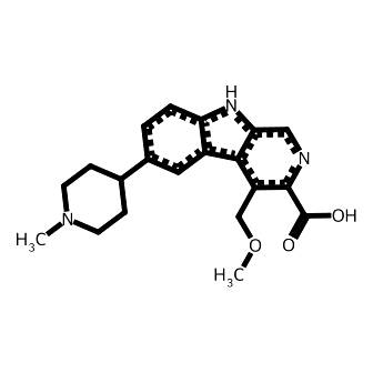 COCc1c(C(=O)O)ncc2[nH]c3ccc(C4CCN(C)CC4)cc3c12